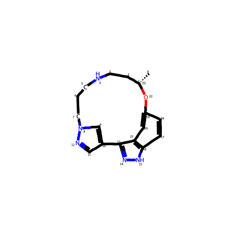 C[C@H]1CCNCCCn2cc(cn2)-c2n[nH]c3ccc(cc23)O1